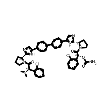 CN(C)[C@@H](C(=O)N1CCC[C@H]1c1ncc(-c2ccc(-c3ccc(-c4cnc([C@@H]5CCCN5C(=O)[C@H](OC(N)=O)c5ccccc5Cl)[nH]4)cc3)cc2)[nH]1)c1ccccc1Cl